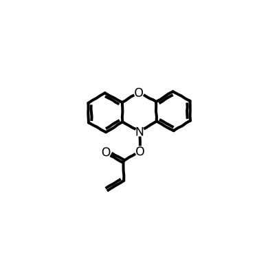 C=CC(=O)ON1c2ccccc2Oc2ccccc21